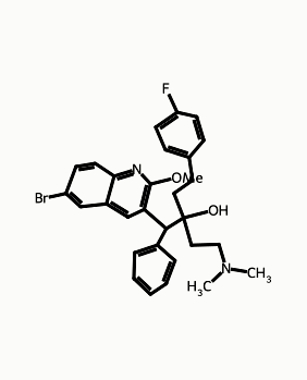 COc1nc2ccc(Br)cc2cc1C(c1ccccc1)C(O)(CCc1ccc(F)cc1)CCN(C)C